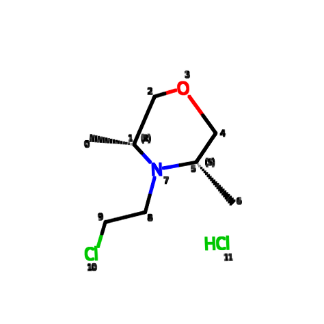 C[C@@H]1COC[C@H](C)N1CCCl.Cl